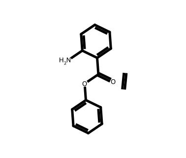 C=C.Nc1ccccc1C(=O)Oc1ccccc1